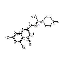 CCCC/C(=N\Oc1nc2oc(=O)cc(CC)c2c(=O)[nH]1)N1CCN(C)CC1